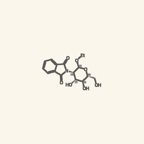 CCO[C@H]1O[C@H](CO)[C@@H](O)[C@H](O)[C@@H]1N1C(=O)c2ccccc2C1=O